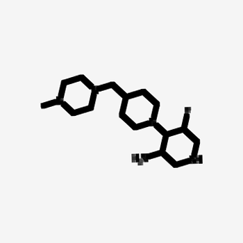 CN1CCN(CC2CCN(C3C(N)CNCC3F)CC2)CC1